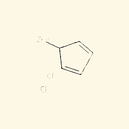 [Cl-].[Cl-].[Zr+3][CH]1C=CC=C1